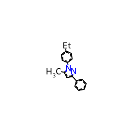 [CH2]Cc1ccc(-n2nc(-c3ccccc3)cc2C)cc1